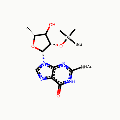 CC(=O)Nc1nc2c(ncn2[C@@H]2O[C@H](C)C(O)[C@@H]2O[Si](C)(C)C(C)(C)C)c(=O)[nH]1